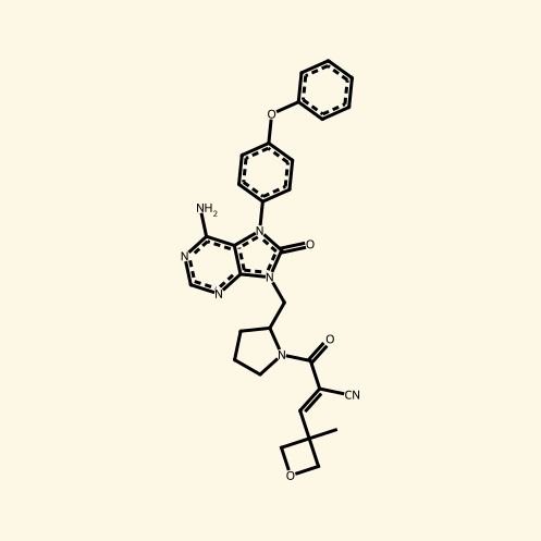 CC1(C=C(C#N)C(=O)N2CCCC2Cn2c(=O)n(-c3ccc(Oc4ccccc4)cc3)c3c(N)ncnc32)COC1